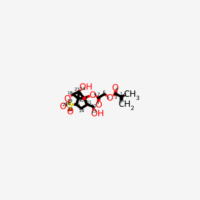 C=C(C)C(=O)OCC(=O)OC1C2(CO)CC3C4(C2)C(OS3(=O)=O)C14O